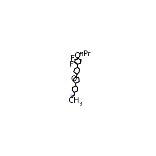 C/C=C/C1CCC(C2CCC(C3CCC(c4ccc(OCCC)c(F)c4F)CC3)OC2)CC1